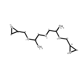 CC(COCC(C)OCC1CO1)OCC1CO1